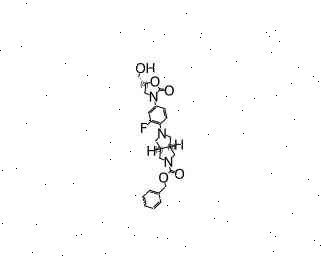 O=C(OCc1ccccc1)N1C[C@@H]2CN(c3ccc(N4C[C@H](CO)OC4=O)cc3F)C[C@@H]2C1